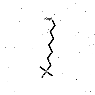 CCCCCCCCCCCCC[CH][Si](C)(C)C